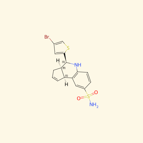 NS(=O)(=O)c1ccc2c(c1)[C@H]1C=CC[C@H]1[C@@H](c1cc(Br)cs1)N2